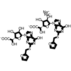 O=C([O-])C(O)[C@H]1O[C@@H](n2cnc3c(O)nc(SCc4ccco4)nc32)[C@H](O)[C@@H]1O.O=C([O-])C(O)[C@H]1O[C@@H](n2cnc3c(O)nc(SCc4ccco4)nc32)[C@H](O)[C@@H]1O.[Na+].[Na+]